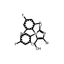 OCC1=C(Br)N=C(Cl)[N+]1(c1ccc(F)cc1Cl)c1c(F)cc(F)cc1Br